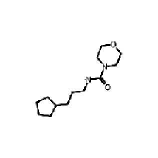 O=C([N]CCCC1CCCC1)N1CCOCC1